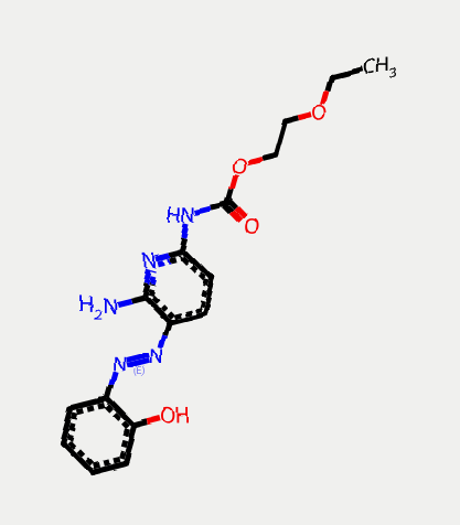 CCOCCOC(=O)Nc1ccc(/N=N/c2ccccc2O)c(N)n1